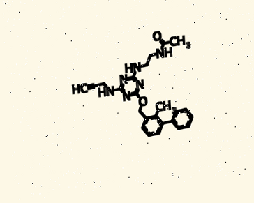 C#CCNc1nc(NCCNC(C)=O)nc(OCc2cccc(-c3ccccc3)c2C)n1